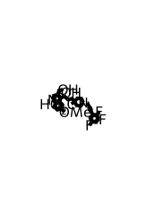 COc1ccc2ncc(CO)c([C@H](O)CCC3(C(=O)O)CCN(CC#Cc4cc(F)cc(F)c4F)CC3)c2c1